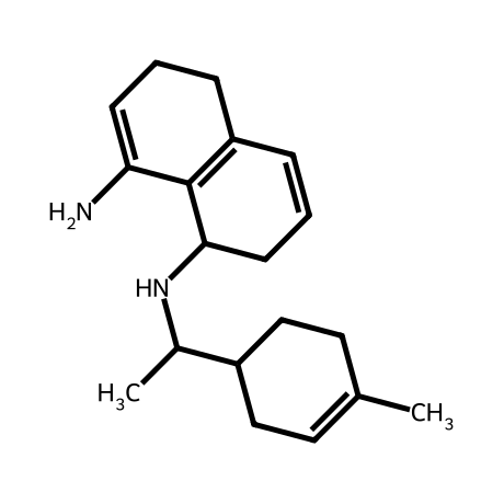 CC1=CCC(C(C)NC2CC=CC3=C2C(N)=CCC3)CC1